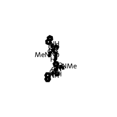 CN[C@@H](C)C(=O)N[C@H](C(=O)N1CCC[C@H]1C(=O)N[C@@H]1CCCc2ccccc21)c1ccc(C=CCO[C@H](C)[C@H](NC(=O)[C@H](C)NC)C(=O)N2CCC[C@H]2C(=O)N[C@@H]2CCCc3ccccc32)cc1